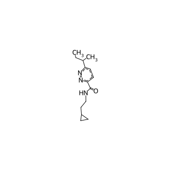 CCC(C)c1ccc(C(=O)NCCC2CC2)nn1